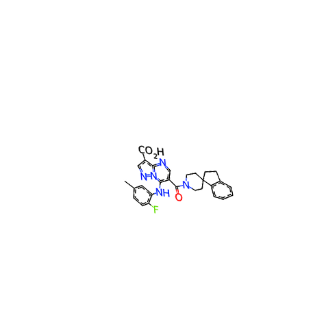 Cc1ccc(F)c(Nc2c(C(=O)N3CCC4(CCc5ccccc54)CC3)cnc3c(C(=O)O)cnn23)c1